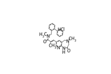 C/C(=C\c1cnc2c(c1)CN(C)CC(=O)N2)C(=O)N(C)Cc1ccccc1-c1ccccc1.Cl